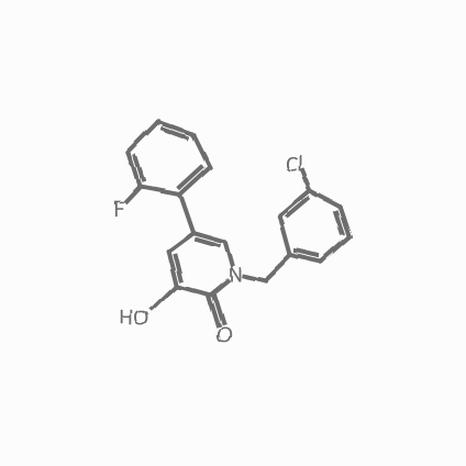 O=c1c(O)cc(-c2ccccc2F)cn1Cc1cccc(Cl)c1